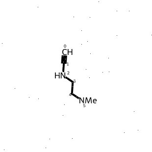 C#CNCCNC